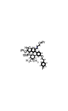 Cc1nc(/C=C/COC(C)C)c(-c2ccc(OCCc3ccc(F)cc3)cc2)c(N2CCC(C)(C)CC2)c1[C@H](OC(C)(C)C)C(=O)OC(C)C